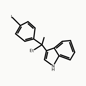 CCC(C)(c1ccc(I)cc1)c1c[nH]c2ccccc12